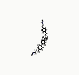 C/C=C/CCc1ccc(CCOC(F)(F)c2ccc([C@H]3CC[C@H](CC/C=C/C)CC3)cc2)cc1